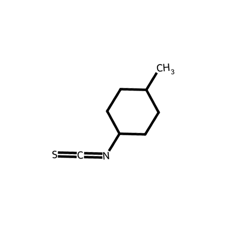 CC1CCC(N=C=S)CC1